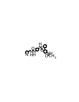 CC(=O)Nc1cccc(-c2ccccc2[S+]([O-])Nc2ccc(NC(=O)NCc3cccnc3)cc2)c1